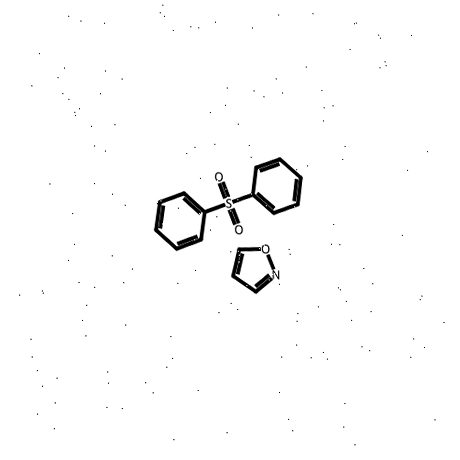 O=S(=O)(c1ccccc1)c1ccccc1.c1cnoc1